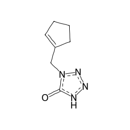 O=c1[nH]nnn1CC1=CCCC1